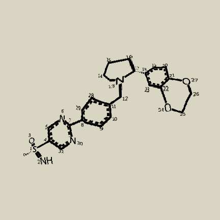 C[S@](=N)(=O)c1cnc(-c2ccc(CN3CCC[C@@H]3c3ccc4c(c3)OCCO4)cc2)nc1